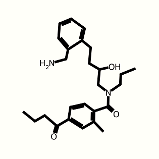 CCCC(=O)c1ccc(C(=O)N(CCC)CC(O)CCc2ccccc2CN)c(C)c1